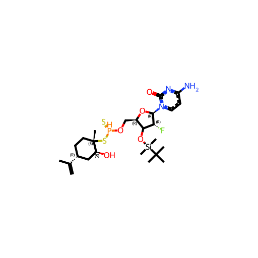 C=C(C)[C@@H]1CC[C@](C)(S[PH](=S)OC[C@H]2O[C@@H](n3ccc(N)nc3=O)[C@H](F)C2O[Si](C)(C)C(C)(C)C)[C@@H](O)C1